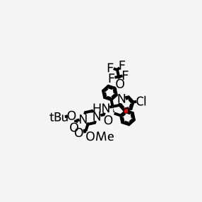 COC(=O)C1CN(C(=O)N[C@@](Cc2ccccc2)(c2cccc(OC(F)(F)C(F)F)c2)c2ccc(Cl)cn2)CCN1C(=O)OC(C)(C)C